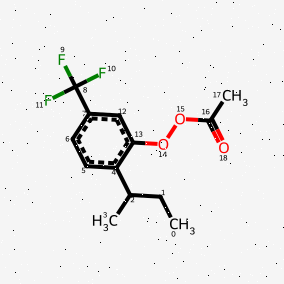 CCC(C)c1ccc(C(F)(F)F)cc1OOC(C)=O